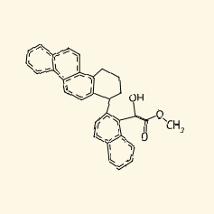 COC(=O)C(O)c1c(C2CCCc3c2ccc2c3ccc3ccccc32)ccc2ccccc12